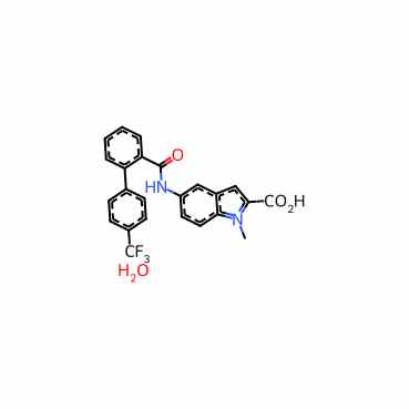 Cn1c(C(=O)O)cc2cc(NC(=O)c3ccccc3-c3ccc(C(F)(F)F)cc3)ccc21.O